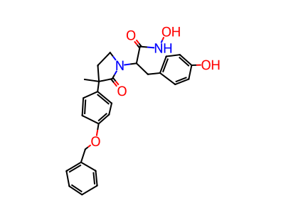 CC1(c2ccc(OCc3ccccc3)cc2)CCN(C(Cc2ccc(O)cc2)C(=O)NO)C1=O